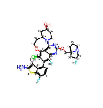 N#Cc1c(N)sc2c(F)ccc(-c3c(Cl)c4c5c(nc(OCC67CCCN6C[C@H](F)C7)nc5c3F)N3CCC(O)CC3CCO4)c12